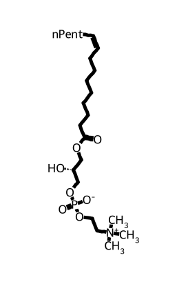 CCCCC/C=C\CCCCCCCC(=O)OC[C@@H](O)COP(=O)([O-])OCC[N+](C)(C)C